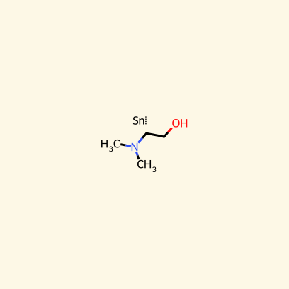 CN(C)CCO.[Sn]